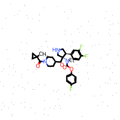 CCN(C(=O)Oc1ccc(F)cc1)[C@]1(C(=O)C2CCN(C(=O)C3(C)CC3)CC2)CNC[C@H]1c1ccc(F)c(F)c1